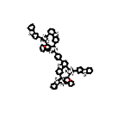 c1ccc(-c2nc(-c3ccc4sc5ccccc5c4c3)nc(-c3cccc4sc5ccc(-c6nc(-c7ccc(-c8ccc(-c9nc(-c%10ccccc%10)nc(-c%10ccc%11c(c%10)sc%10ccccc%10%11)n9)c9c8sc8ccc(-c%10nc(-c%11ccccc%11)nc%11c%10sc%10ccccc%10%11)cc89)cc7)nc7c6sc6ccccc67)cc5c34)n2)cc1